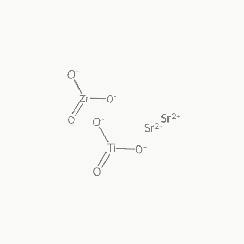 [O]=[Ti]([O-])[O-].[O]=[Zr]([O-])[O-].[Sr+2].[Sr+2]